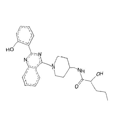 CCCC(O)C(=O)NC1CCN(c2nc(-c3ccccc3O)nc3ccccc23)CC1